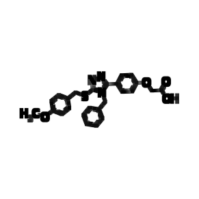 COc1ccc(CSc2nnc(-c3ccc(OCC(=O)O)cc3)n2Cc2ccccc2)cc1